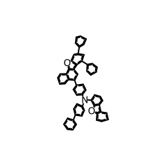 c1ccc(-c2ccc(N(c3ccc(-c4cc5c(oc6cc(-c7ccccc7)cc(-c7ccccc7)c65)c5ccccc45)cc3)c3cccc4c3oc3ccccc34)cc2)cc1